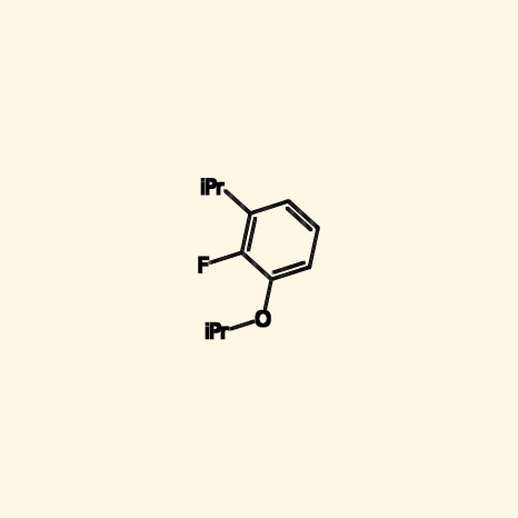 [CH2]C(C)c1cccc(OC(C)C)c1F